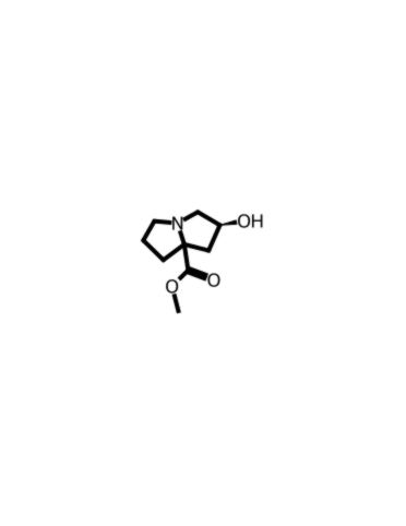 COC(=O)C12CCCN1C[C@@H](O)C2